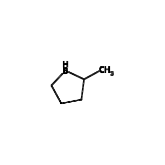 CC1BCCC1